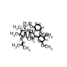 C=N/C(=N\C=C(C)C)[C@@H](C)[C@H](C)S(=O)(=O)Nc1nnc(-c2cc(C)cc(OC)n2)n1-c1c(OC)cccc1OC